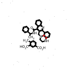 CC(NC(=O)c1c(CN2CCNCC2)c(-c2ccccc2)nc2ccccc12)c1ccccc1.Cc1ccc(C(=O)O)cc1C(=O)O